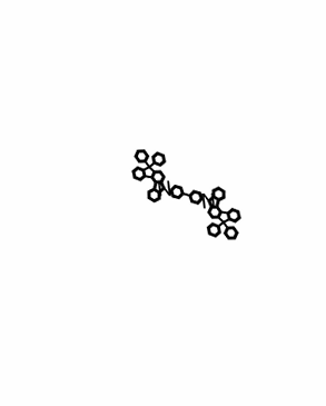 c1ccc(C2(c3ccccc3)c3ccccc3-c3c2ccc2c3c3ccccc3n2-c2ccc(-c3ccc(-n4c5ccccc5c5c6c(ccc54)C(c4ccccc4)(c4ccccc4)c4ccccc4-6)cc3)cc2)cc1